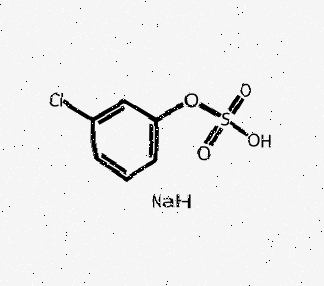 O=S(=O)(O)Oc1cccc(Cl)c1.[NaH]